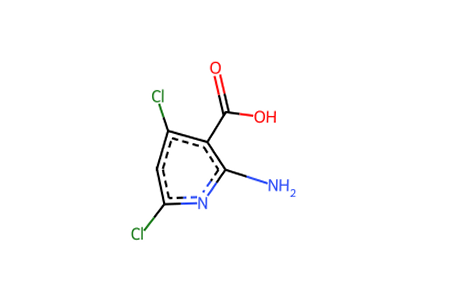 Nc1nc(Cl)cc(Cl)c1C(=O)O